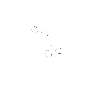 COc1ccc(C#N)cc1-c1cc(C)ncc1C(=O)Nc1nc2ccc(-c3ccc(CNC(C)=O)cc3)nc2s1